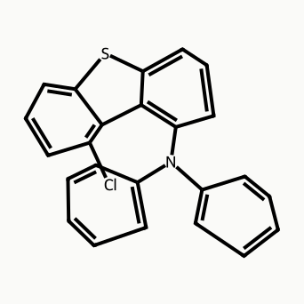 Clc1cccc2sc3cccc(N(c4ccccc4)c4ccccc4)c3c12